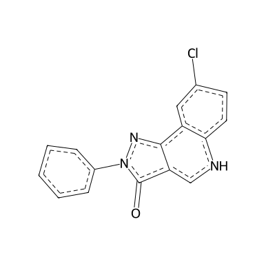 O=c1c2c[nH]c3ccc(Cl)cc3c-2nn1-c1ccccc1